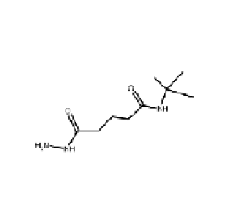 CC(C)(C)NC(=O)CCCC(=O)NN